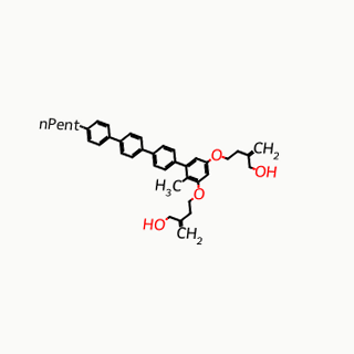 C=C(CO)CCOc1cc(OCCC(=C)CO)c(C)c(-c2ccc(-c3ccc(-c4ccc(CCCCC)cc4)cc3)cc2)c1